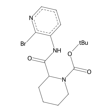 CC(C)(C)OC(=O)N1CCCCC1C(=O)Nc1cccnc1Br